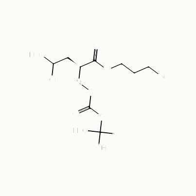 CC(C)C[C@H](NSC(=O)OC(C)(C)C)C(=O)OCCCBr